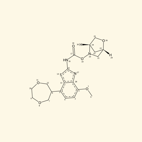 COc1ccc(C2COCCOC2)c2sc(NC(=O)ON3C[C@@H]4C[C@H]3CO4)nc12